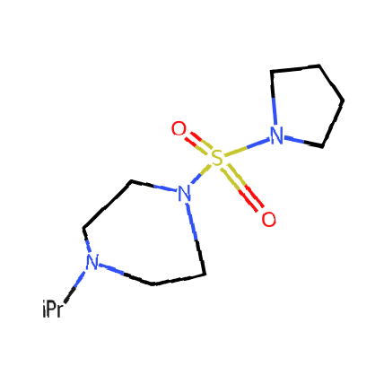 CC(C)N1CCN(S(=O)(=O)N2CCCC2)CC1